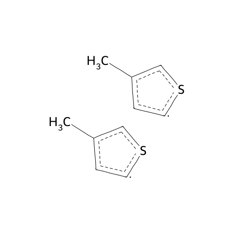 Cc1c[c]sc1.Cc1c[c]sc1